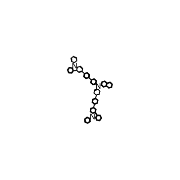 C1=CCC(N2c3ccccc3C3C=C(c4ccc(-c5ccc(N(C6=CCC(c7ccc(-c8ccc9c(c8)c8ccccc8n9-c8ccccc8)cc7)CC6)c6ccc7ccccc7c6)cc5)cc4)C=CC32)C=C1